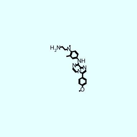 COc1ccc(-c2cnc3c(Nc4ccc(N(C)CCN)c(C)c4)nccn23)cc1